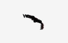 CCCCCCCCCCOc1ccc(C(=O)Oc2ccc(OC(=O)c3ccc(O)cc3)cc2)cc1